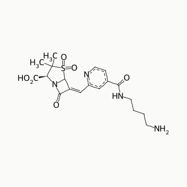 CC1(C)[C@H](C(=O)O)N2C(=O)/C(=C/c3cc(C(=O)NCCCCN)ccn3)C2S1(=O)=O